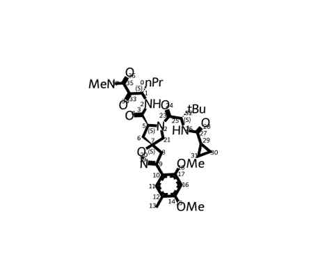 CCC[C@H](NC(=O)[C@@H]1C[C@]2(CC(c3cc(C)c(OC)cc3OC)=NO2)CN1C(=O)[C@@H](NC(=O)C1CC1)C(C)(C)C)C(=O)C(=O)NC